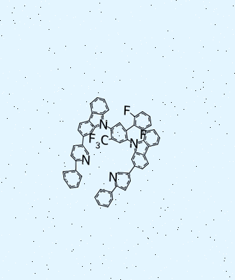 Fc1cccc(F)c1-c1cc(-n2c3ccccc3c3ccc(-c4ccc(-c5ccccc5)nc4)cc32)c(C(F)(F)F)cc1-n1c2ccccc2c2ccc(-c3ccc(-c4ccccc4)nc3)cc21